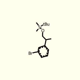 CC(CO[Si](C)(C)C(C)(C)C)c1cccc(Br)c1